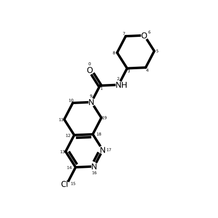 O=C(NC1CCOCC1)N1CCc2cc(Cl)nnc2C1